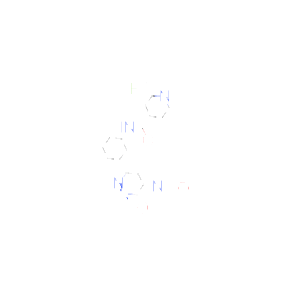 COc1nnc(-c2cc(NC(=O)c3ccnc(C(C)(F)F)c3)ccc2C)cc1N1CCOCC1